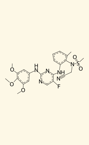 COc1cc(Nc2ncc(F)c(Nc3cccc(C)c3N(CC#N)S(C)(=O)=O)n2)cc(OC)c1OC